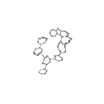 c1ccc(-c2cccc(-c3nc(-c4ccccc4)nc(-c4cccc(-c5ccc6c(ccc7ccc8sc9ccccc9c8c76)c5)c4)n3)c2)cc1